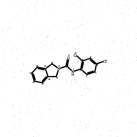 O=C(Nc1ccc(Cl)cc1Cl)N1Cc2ccccc2C1